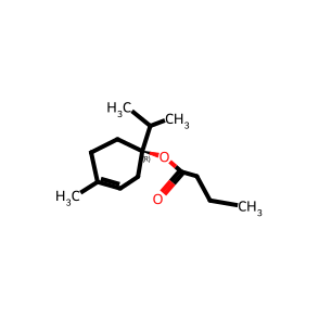 CCCC(=O)O[C@@]1(C(C)C)CC=C(C)CC1